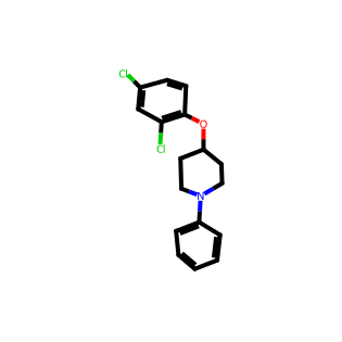 Clc1ccc(OC2CCN(c3cc[c]cc3)CC2)c(Cl)c1